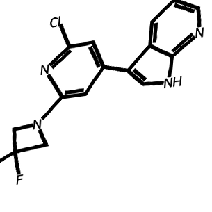 FC1(F)CN(c2cc(-c3c[nH]c4ncccc34)cc(Cl)n2)C1